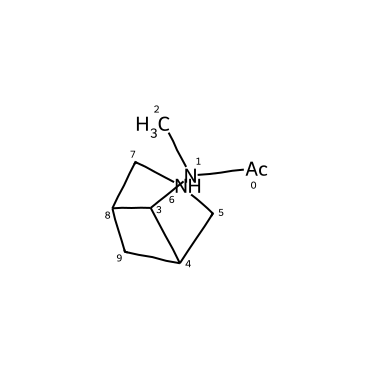 CC(=O)N(C)C1C2CNCC1C2